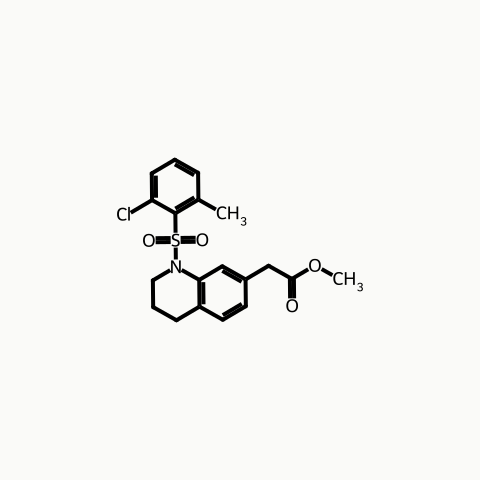 COC(=O)Cc1ccc2c(c1)N(S(=O)(=O)c1c(C)cccc1Cl)CCC2